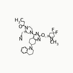 C=CC(=O)N1CCN(c2nc(OC[C@@H]3CC(F)(F)CN3C)nc3c2CCC(N2CCCc4ccccc42)C3)C[C@@H]1CC#N